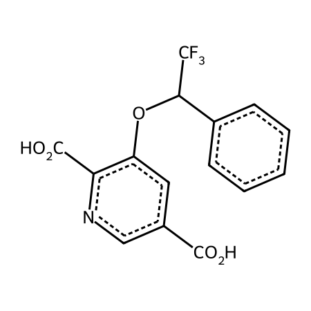 O=C(O)c1cnc(C(=O)O)c(OC(c2ccccc2)C(F)(F)F)c1